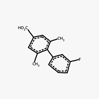 Cc1cc(C(=O)O)cc(C)c1-c1cccc(F)c1